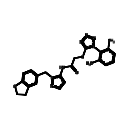 Cc1cccc(C)c1-n1nnnc1SCC(=O)Nc1ccnn1Cc1ccc2c(c1)CCO2